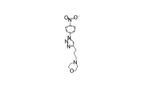 O=[N+]([O-])c1ccc(-n2cc(CCCN3CCOCC3)nn2)cc1